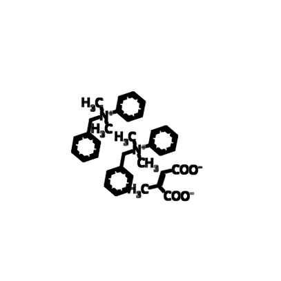 C/C(=C/C(=O)[O-])C(=O)[O-].C[N+](C)(Cc1ccccc1)c1ccccc1.C[N+](C)(Cc1ccccc1)c1ccccc1